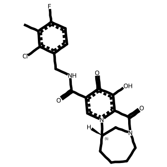 Cc1c(F)ccc(CNC(=O)c2cn3c(c(O)c2=O)C(=O)N2CCCC[C@H]3C2)c1Cl